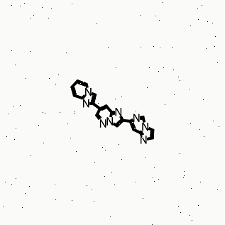 c1ccn2cc(-c3cnn4cc(-c5cc6nccn6cn5)nc4c3)nc2c1